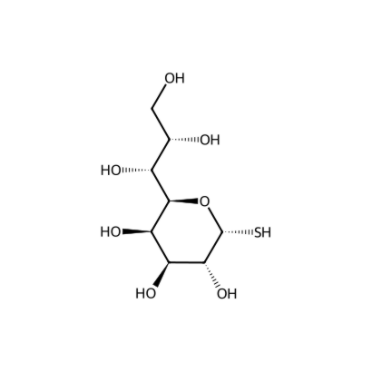 OC[C@H](O)[C@@H](O)[C@H]1O[C@H](S)[C@H](O)[C@@H](O)[C@H]1O